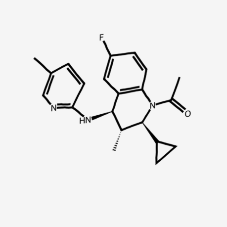 CC(=O)N1c2ccc(F)cc2[C@H](Nc2ccc(C)cn2)[C@@H](C)[C@@H]1C1CC1